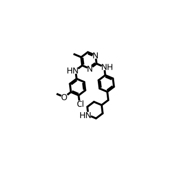 COc1cc(Nc2nc(Nc3ccc(CC4CCNCC4)cc3)ncc2C)ccc1Cl